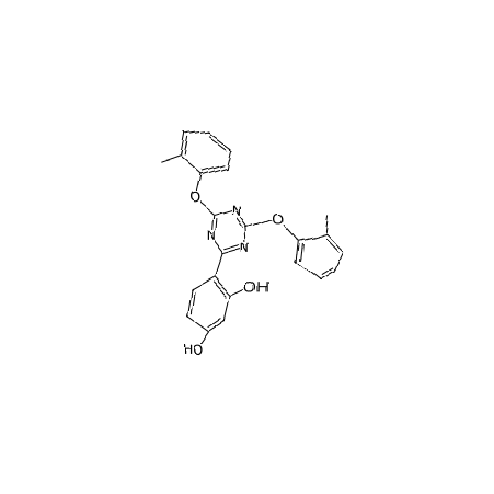 Cc1ccccc1Oc1nc(Oc2ccccc2C)nc(-c2ccc(O)cc2O)n1